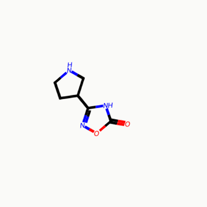 O=c1[nH]c(C2CCNC2)no1